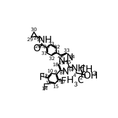 CC(C)(O)CNc1nc(-c2cc(F)c(F)cc2F)cn2c(-c3ccc(C(=O)NC4CC4)cc3)cnc12